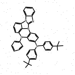 CC(C)(C)c1ccc(N(c2ccc(C(C)(C)C)cc2)c2ccc3c(c2)N(c2ccccc2)c2cccc4c2B3c2nc3ccccc3n2-4)cc1